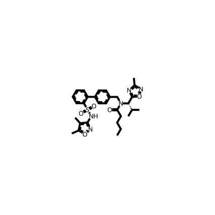 CCCCC(=O)N(Cc1ccc(-c2ccccc2S(=O)(=O)Nc2noc(C)c2C)cc1)[C@H](c1nc(C)no1)C(C)C